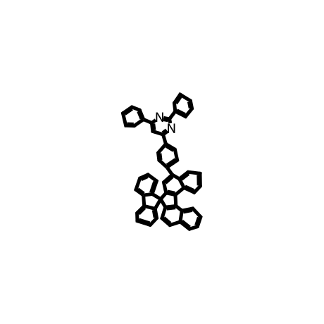 c1ccc(-c2cc(-c3ccc(-c4cc5c(c6ccccc46)-c4c(ccc6ccccc46)C54c5ccccc5-c5ccccc54)cc3)nc(-c3ccccc3)n2)cc1